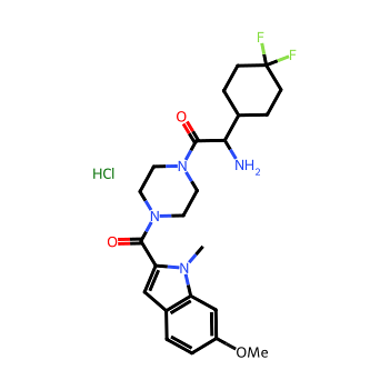 COc1ccc2cc(C(=O)N3CCN(C(=O)C(N)C4CCC(F)(F)CC4)CC3)n(C)c2c1.Cl